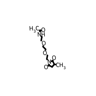 CC(=O)NCCOCCOCCN1C(=O)CC(C)C1=O